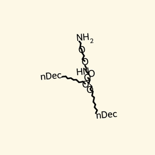 CCCCCCCCCCCCCCCCCCOC[C@H](COC(=O)NCCOCCCOCCCN)OCCCCCCCCCCCCCCCCCC